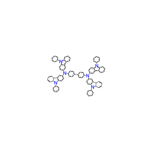 C1=CC2c3cc(N(c4ccc(-c5ccc(N(c6ccc7c(c6)C6C=CC=CC6N7c6ccccc6)c6ccc7c(c6)c6ccccc6n7-c6ccccc6)cc5)cc4)c4ccc5c(c4)c4ccccc4n5-c4ccccc4)ccc3N(c3ccccc3)C2C=C1